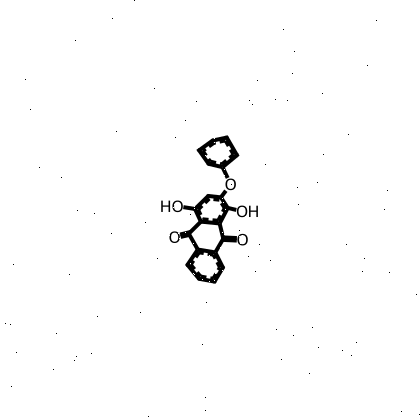 O=C1c2ccccc2C(=O)c2c(O)c(Oc3ccccc3)cc(O)c21